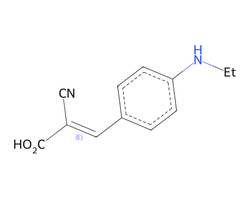 CCNc1ccc(/C=C(\C#N)C(=O)O)cc1